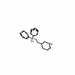 OC(CCC1CCCNC1)(c1ccccc1)c1ccccc1